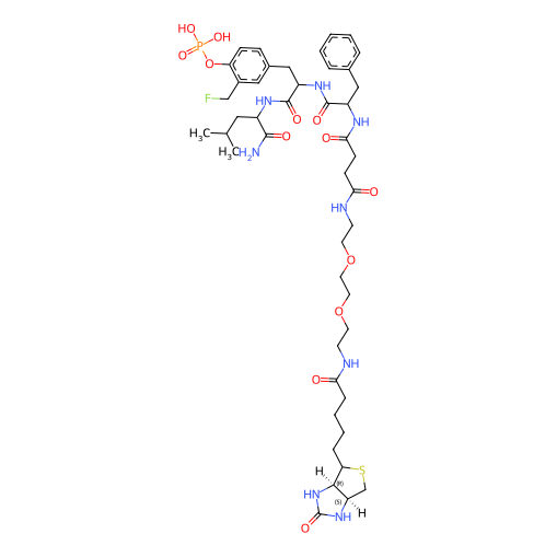 CC(C)CC(NC(=O)C(Cc1ccc(OP(=O)(O)O)c(CF)c1)NC(=O)C(Cc1ccccc1)NC(=O)CCC(=O)NCCOCCOCCNC(=O)CCCCC1SC[C@H]2NC(=O)N[C@@H]12)C(N)=O